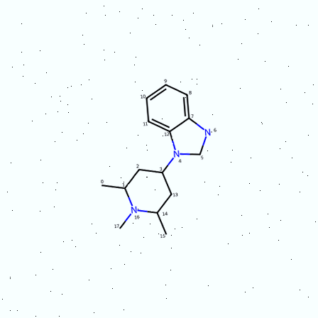 CC1CC(N2C[N]c3ccccc32)CC(C)N1C